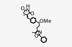 COC(CCc1nc(-c2ccccc2)oc1C)c1ccc(C=C2SC(=O)NC2=O)cc1